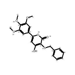 COc1cc(-c2cc(O)c(SCc3ccccc3)c(=O)o2)cc(OC)c1OC